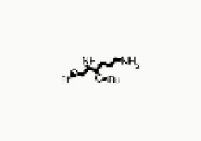 CCOCC(N)C(CCCN)OC(C)CC